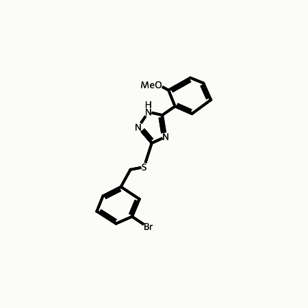 COc1ccccc1-c1nc(SCc2cccc(Br)c2)n[nH]1